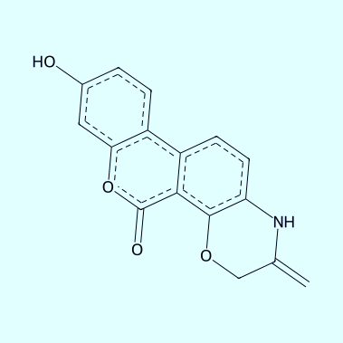 C=C1COc2c(ccc3c2c(=O)oc2cc(O)ccc23)N1